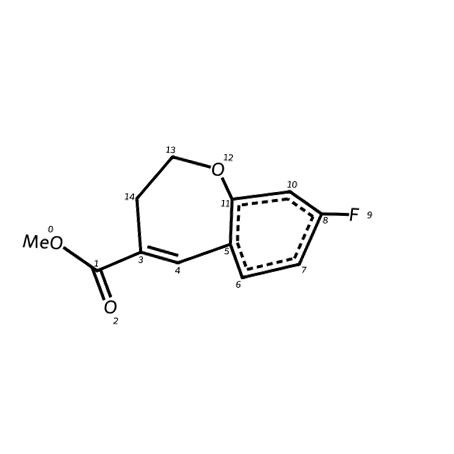 COC(=O)C1=Cc2ccc(F)cc2OCC1